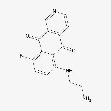 NCCNc1ccc(F)c2c1C(=O)c1ccncc1C2=O